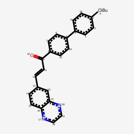 CC(C)COc1ccc(-c2ccc(C(=O)C=Cc3ccc4nccnc4c3)cc2)cc1